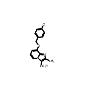 Cc1nc2c(OCc3ccc(Cl)cc3)cccn2c1C(=O)O